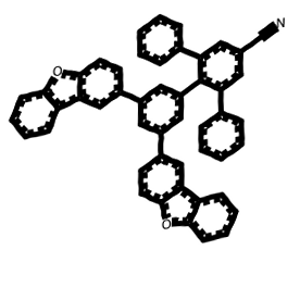 N#Cc1cc(-c2ccccc2)c(-c2cc(-c3ccc4oc5ccccc5c4c3)cc(-c3ccc4oc5ccccc5c4c3)c2)c(-c2ccccc2)c1